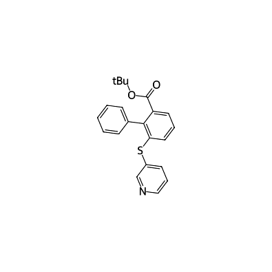 CC(C)(C)OC(=O)c1cccc(Sc2cccnc2)c1-c1ccccc1